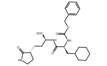 O=C[C@H](CC[C@@H]1CCNC1=O)NC(=O)[C@H](CC1CCCCC1)NC(=O)OCc1ccccc1